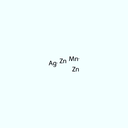 [Ag].[Mn].[Zn].[Zn]